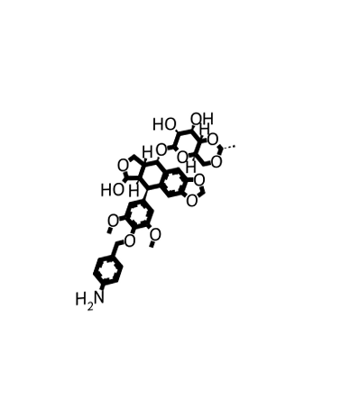 COc1cc([C@@H]2c3cc4c(cc3[C@@H](OC3O[C@@H]5CO[C@@H](C)O[C@H]5[C@H](O)[C@H]3O)[C@H]3COC(O)[C@H]23)OCO4)cc(OC)c1OCc1ccc(N)cc1